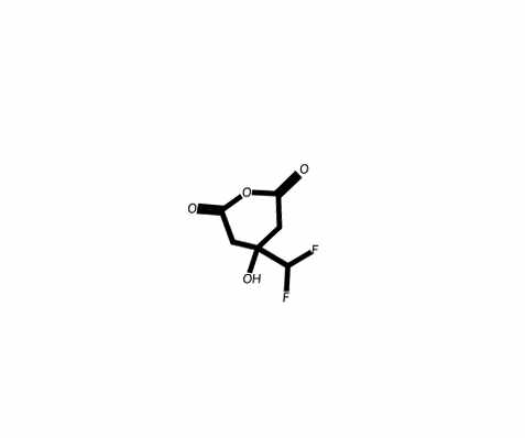 O=C1CC(O)(C(F)F)CC(=O)O1